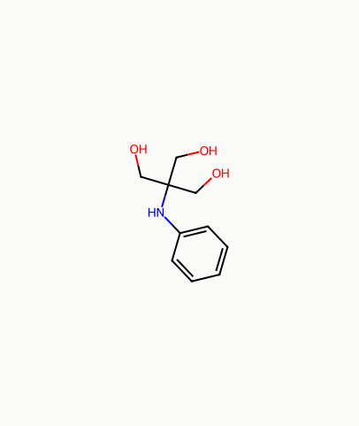 OCC(CO)(CO)Nc1ccccc1